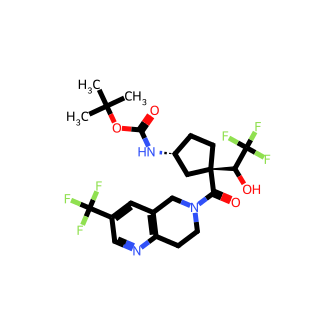 CC(C)(C)OC(=O)N[C@@H]1CC[C@@](C(=O)N2CCc3ncc(C(F)(F)F)cc3C2)(C(O)C(F)(F)F)C1